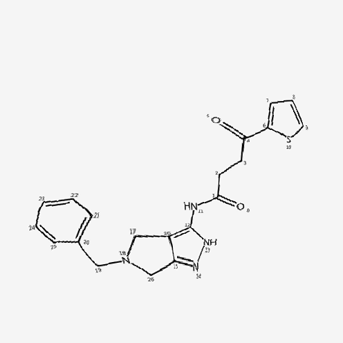 O=C(CCC(=O)c1cccs1)Nc1[nH]nc2c1CN(Cc1ccccc1)C2